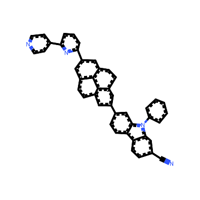 N#Cc1ccc2c3ccc(-c4cc5ccc6cc(-c7cccc(-c8ccncc8)n7)cc7ccc(c4)c5c67)cc3n(-c3ccccc3)c2c1